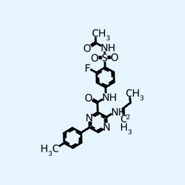 CC(=O)NS(=O)(=O)c1ccc(NC(=O)c2nc(-c3ccc(C)cc3)cnc2N)cc1F.CCCC